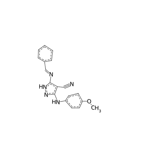 COc1ccc(Nc2n[nH]c(/N=C/c3ccccc3)c2C#N)cc1